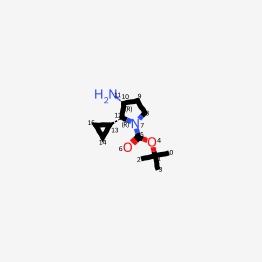 CC(C)(C)OC(=O)N1CC[C@@H](N)[C@H]1C1CC1